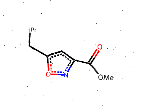 COC(=O)c1cc(CC(C)C)on1